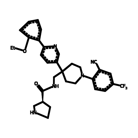 CCOc1ccccc1-c1ccc(C2(CNC(=O)[C@H]3CCNC3)CCN(c3ccc(C(F)(F)F)cc3C#N)CC2)cn1